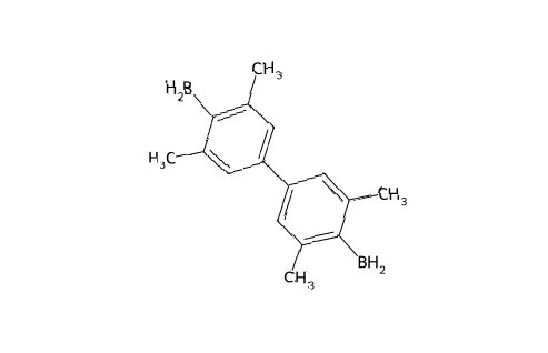 Bc1c(C)cc(-c2cc(C)c(B)c(C)c2)cc1C